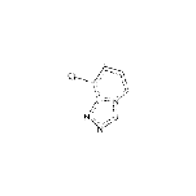 Clc1[c]ccn2cnnc12